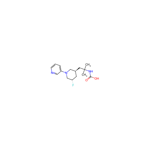 CC(C)(C[C@H]1C[C@H](F)CN(c2cccnc2)C1)NC(=O)O